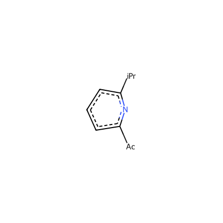 CC(=O)c1cccc(C(C)C)n1